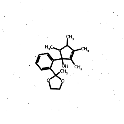 CC1=C(C)C(O)(c2ccccc2C2(C)OCCO2)C(C)C1C